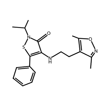 Cc1noc(C)c1CCNc1c(-c2ccccc2)sn(C(C)C)c1=O